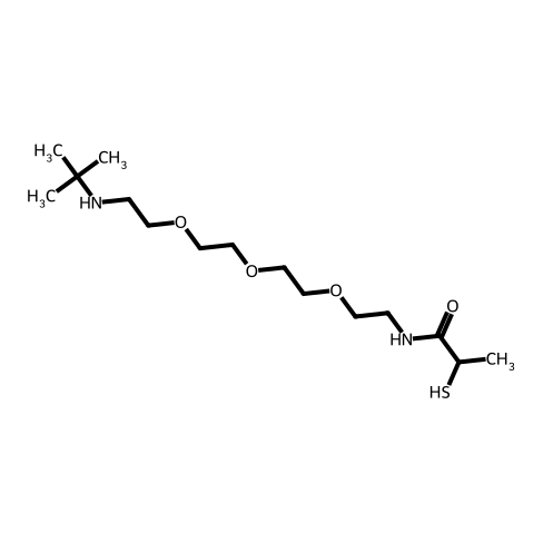 CC(S)C(=O)NCCOCCOCCOCCNC(C)(C)C